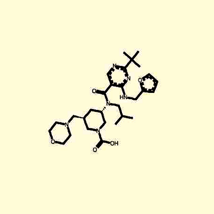 CC(C)CN(C(=O)c1cnc(C(C)(C)C)nc1NCc1ccco1)[C@H]1C[C@H](CN2CCOCC2)CN(C(=O)O)C1